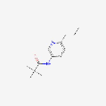 CCCc1ccc(NC(=O)C(C)(C)C)cn1